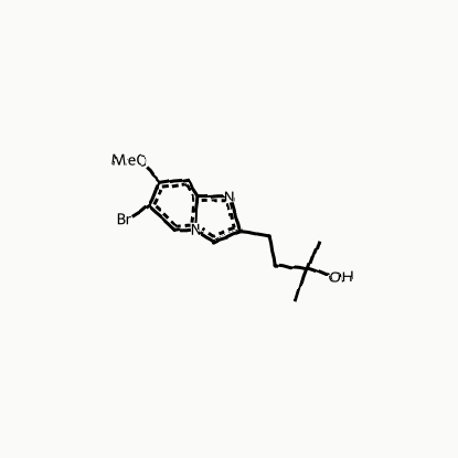 COc1cc2nc(CCC(C)(C)O)cn2cc1Br